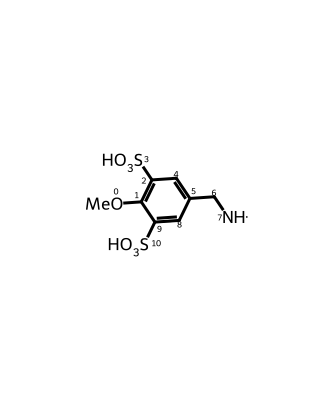 COc1c(S(=O)(=O)O)cc(C[NH])cc1S(=O)(=O)O